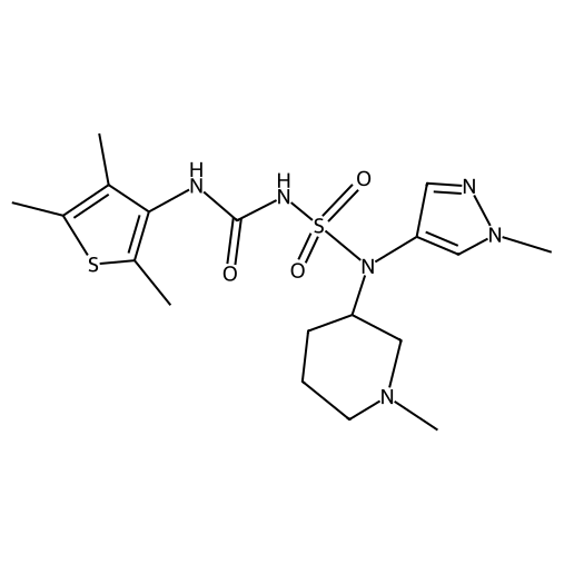 Cc1sc(C)c(NC(=O)NS(=O)(=O)N(c2cnn(C)c2)C2CCCN(C)C2)c1C